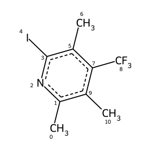 Cc1nc(I)c(C)c(C(F)(F)F)c1C